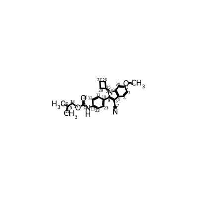 COc1ccc2c(C#N)c(-c3ccc(NC(=O)OCC(C)C)cc3)n(C3CCC3)c2c1